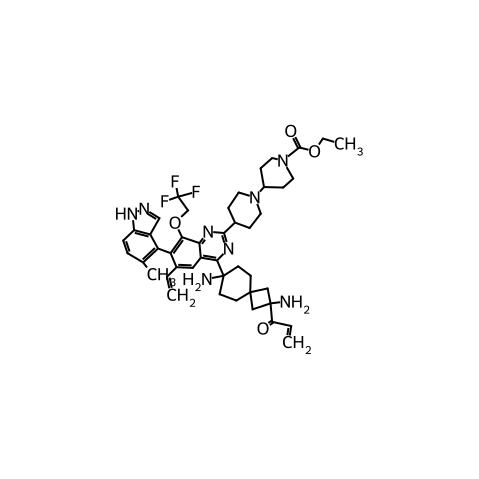 C=CC(=O)C1(N)CC2(CCC(N)(c3nc(C4CCN(C5CCN(C(=O)OCC)CC5)CC4)nc4c(OCC(F)(F)F)c(-c5c(C)ccc6[nH]ncc56)c(C=C)cc34)CC2)C1